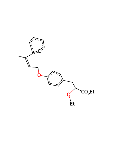 CCOC(=O)C(Cc1ccc(OC/C=C(/C)c2ccccc2)cc1)OCC